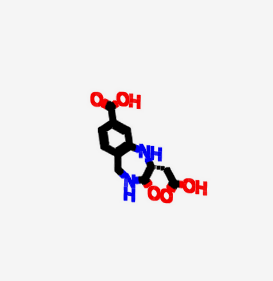 O=C(O)C[C@H]1Nc2cc(C(=O)O)ccc2CNC1=O